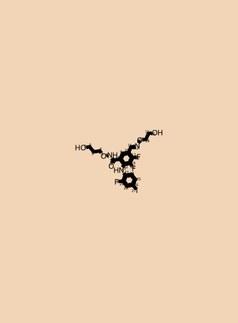 O=C(NOCCCO)c1cc(C=NOCCO)c(F)c(F)c1Nc1ccc(I)cc1F